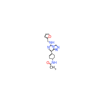 CC(=O)NC1CC=C(c2cnc(NCc3ccco3)n3cnnc23)CC1